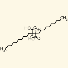 CCCCCCCCCCC(O)(C(=O)O)C(O)(CCCCCCCCCC)C(=O)O